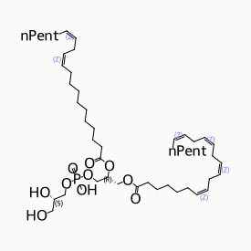 CCCCC/C=C\C/C=C\C/C=C\C/C=C\CCCCCC(=O)OC[C@H](COP(=O)(O)OC[C@@H](O)CO)OC(=O)CCCCCCCCC/C=C\C/C=C\CCCCC